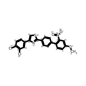 COc1ccc(-c2ccc(-c3nc(-c4ccc(Cl)c(Cl)c4)cs3)cc2)c([N+](=O)[O-])c1